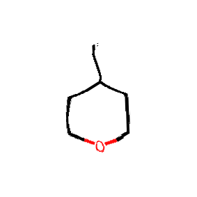 [CH]C1CCOCC1